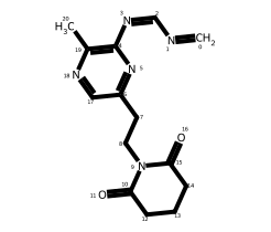 C=N/C=N\c1nc(CCN2C(=O)CCCC2=O)cnc1C